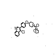 O=C(N1CCC(Oc2ccc(-c3cnc4ccccc4c3Cl)cc2)CC1)N1CCCO1